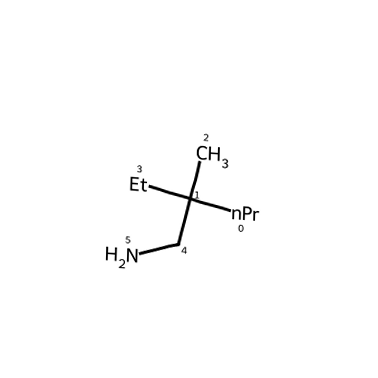 CCCC(C)(CC)CN